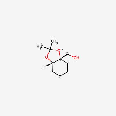 CC1(C)O[C@H]2CCCC[C@@]2(CO)O1